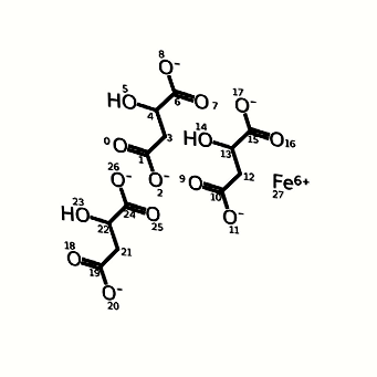 O=C([O-])CC(O)C(=O)[O-].O=C([O-])CC(O)C(=O)[O-].O=C([O-])CC(O)C(=O)[O-].[Fe+6]